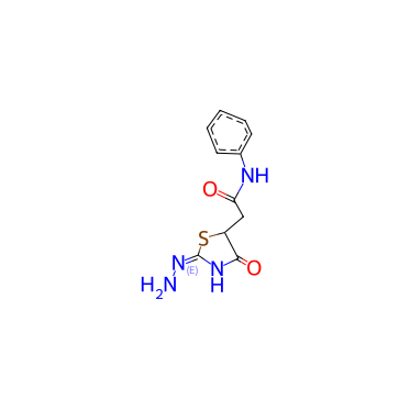 N/N=C1\NC(=O)C(CC(=O)Nc2ccccc2)S1